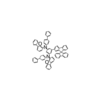 C1=CC(c2ccccc2)CC=C1N(c1cc(-c2ccc3c(c2)C2(c4ccccc4-c4ccccc42)c2ccccc2-3)cc(N(c2ccc(-c3ccccc3)cc2)c2cccc3c2oc2ccccc23)c1)c1cccc2c1oc1ccccc12